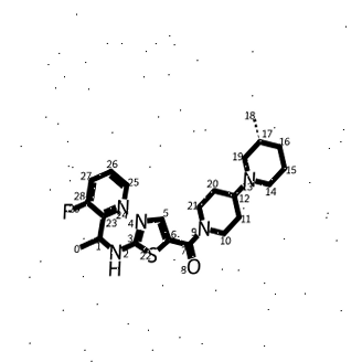 CC(Nc1ncc(C(=O)N2CCC(N3CCC[C@@H](C)C3)CC2)s1)c1ncccc1F